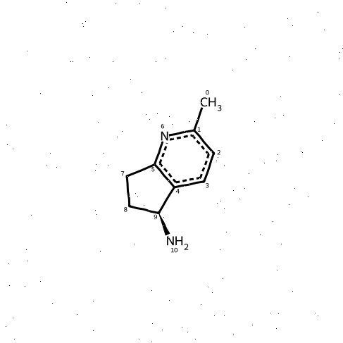 Cc1ccc2c(n1)CC[C@@H]2N